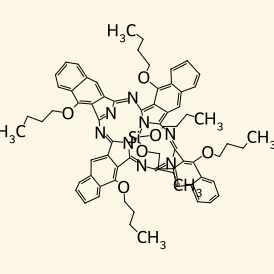 CCCCOc1c2c(cc3ccccc13)/C1=N/c3c4c(OCCCC)c5ccccc5cc4c4n3[Si](OCCCC)(OCCCC)n3/c(c5cc6ccccc6c(OCCCC)c5/c3=N/C3=NC(=N\4)/c4c3cc3ccccc3c4OCCCC)=N\C2=N1